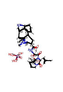 CC(C)C[C@H]1C(=O)N2CCC[C@H]2[C@]2(O)O[C@@](C)(NC(=O)[C@@H]3C=C4c5cccc6[nH]cc(c56)C[C@H]4N(C)C3)C(=O)N12.O=P(O)(O)O